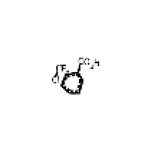 FC(F)(F)Cl.O=C(O)c1ccccc1